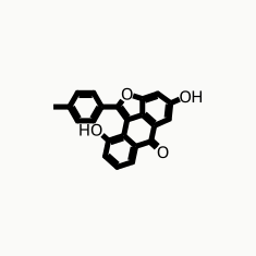 Cc1ccc(-c2oc3cc(O)cc4c3c2-c2c(O)cccc2C4=O)cc1